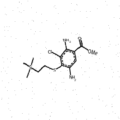 COC(=O)c1cc(N)c(SCC[Si](C)(C)C)c(Cl)c1N